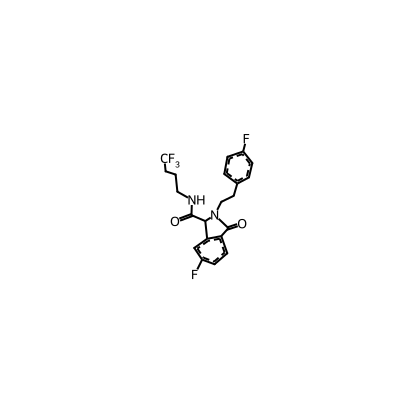 O=C(NCCCC(F)(F)F)C1c2cc(F)ccc2C(=O)N1CCc1ccc(F)cc1